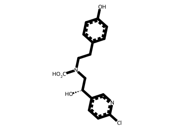 O=C(O)N(CCc1ccc(O)cc1)C[C@@H](O)c1ccc(Cl)nc1